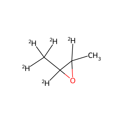 [2H]C([2H])([2H])C1([2H])OC1([2H])C